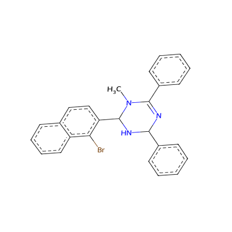 CN1C(c2ccccc2)=NC(c2ccccc2)NC1c1ccc2ccccc2c1Br